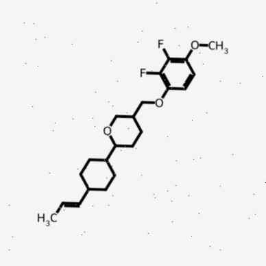 C/C=C/C1CCC(C2CCC(COc3ccc(OC)c(F)c3F)CO2)CC1